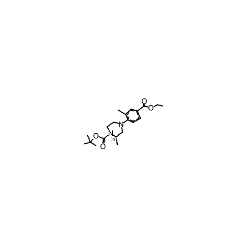 CCOC(=O)c1ccc(N2CCN(C(=O)OC(C)(C)C)[C@H](C)C2)c(C)c1